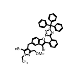 CCCCc1c(Cc2ccc3oc(-c4ccccc4-c4nnn(C(c5ccccc5)(c5ccccc5)c5ccccc5)n4)c(Br)c3c2)c(COC)nn1CC(F)(F)F